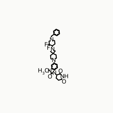 Cn1c(=O)n(C2CCC(=O)NC2=O)c2ccc(N3CCC4(CC3)CN(C3CCN(Cc5ccccc5)CC3(F)F)C4)cc21